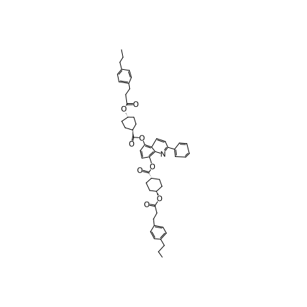 CCCc1ccc(CCC(=O)O[C@H]2CC[C@H](C(=O)Oc3ccc(OC(=O)[C@H]4CC[C@H](OC(=O)CCc5ccc(CCC)cc5)CC4)c4nc(-c5ccccc5)ccc34)CC2)cc1